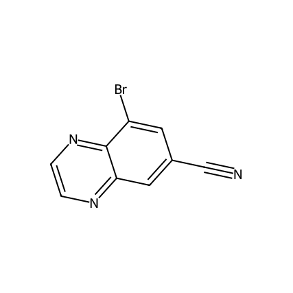 N#Cc1cc(Br)c2nccnc2c1